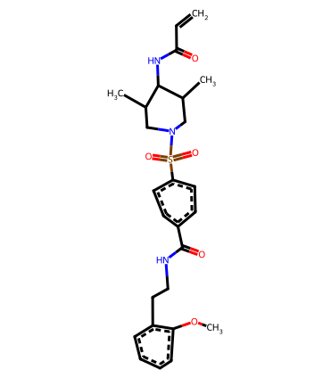 C=CC(=O)NC1C(C)CN(S(=O)(=O)c2ccc(C(=O)NCCc3ccccc3OC)cc2)CC1C